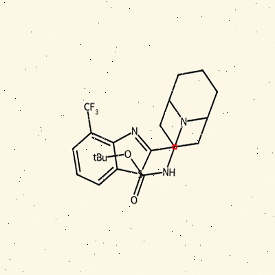 CC(C)(C)OC(=O)NC1CC2CCCC(C1)N2Cc1nc2c(C(F)(F)F)cccc2s1